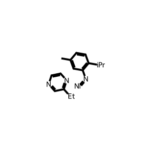 CCc1cnccn1.Cc1ccc(C(C)C)c([N]=[Ni])c1